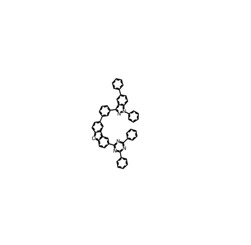 c1ccc(-c2ccc3c(c2)c(-c2cccc(-c4ccc5oc6ccc(-c7nc(-c8ccccc8)nc(-c8ccccc8)n7)cc6c5c4)c2)nn3-c2ccccc2)cc1